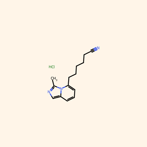 Cc1ncc2cccc(CCCCCC#N)n12.Cl